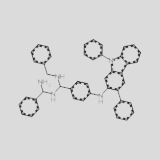 NC(NC(NCc1ccccc1)c1ccc(Nc2cc3c(cc2-c2ccccc2)c2ccccc2n3-c2ccccc2)cc1)c1ccccc1